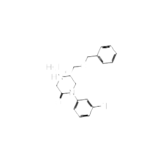 Cl.O=C1CN[C@@H](COCc2ccccc2)CN1c1cccc(Cl)c1